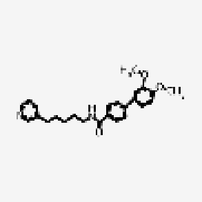 COc1ccc(-c2ccc(C(=O)NCCCCCc3cccnc3)cc2)cc1OC